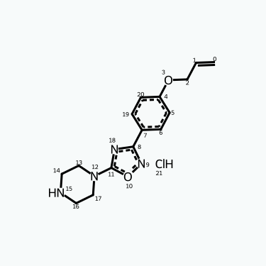 C=CCOc1ccc(-c2noc(N3CCNCC3)n2)cc1.Cl